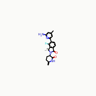 C=C1CCC(N2C(=O)c3ccc(-c4cc(C)cc(N)n4)c(F)c3[C@H]2C)C(=O)N1